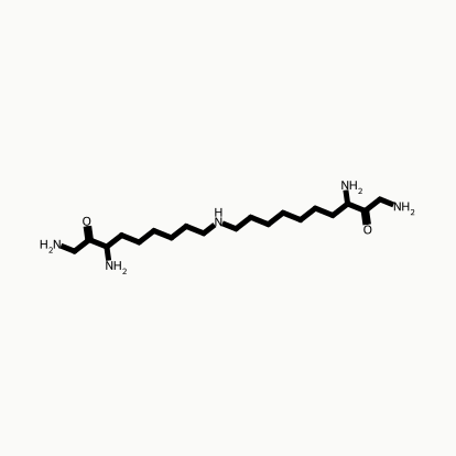 NCC(=O)C(N)CCCCCCCNCCCCCCC(N)C(=O)CN